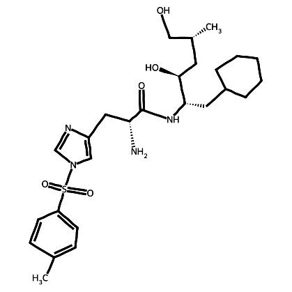 Cc1ccc(S(=O)(=O)n2cnc(C[C@@H](N)C(=O)N[C@@H](CC3CCCCC3)[C@@H](O)C[C@@H](C)CO)c2)cc1